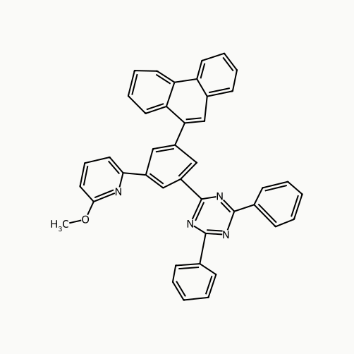 COc1cccc(-c2cc(-c3nc(-c4ccccc4)nc(-c4ccccc4)n3)cc(-c3cc4ccccc4c4ccccc34)c2)n1